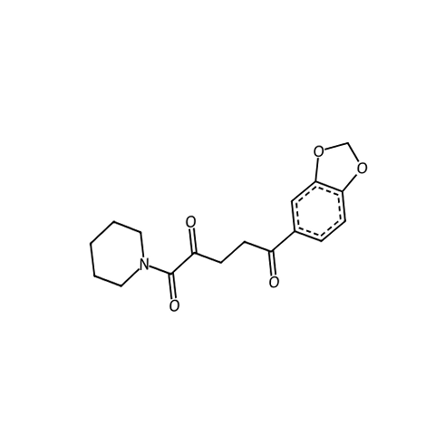 O=C(CCC(=O)c1ccc2c(c1)OCO2)C(=O)N1CCCCC1